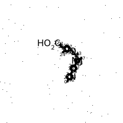 Cc1ccc(-c2ccc(-c3nc(C(C)COc4ccc(CCC(=O)O)c(C)c4)c(C)o3)cc2)nc1